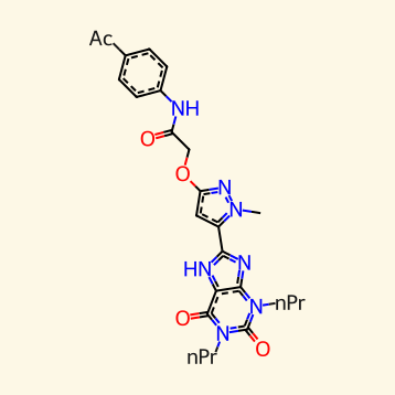 CCCn1c(=O)c2[nH]c(-c3cc(OCC(=O)Nc4ccc(C(C)=O)cc4)nn3C)nc2n(CCC)c1=O